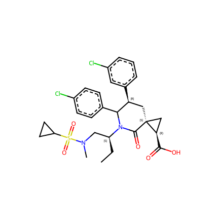 CC[C@@H](CN(C)S(=O)(=O)C1CC1)N1C(=O)[C@@]2(C[C@H](c3cccc(Cl)c3)C1c1ccc(Cl)cc1)C[C@H]2C(=O)O